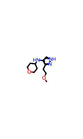 COCCc1n[nH]cc1NC1CCOCC1